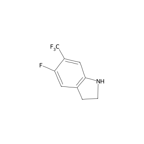 Fc1cc2c(cc1C(F)(F)F)NCC2